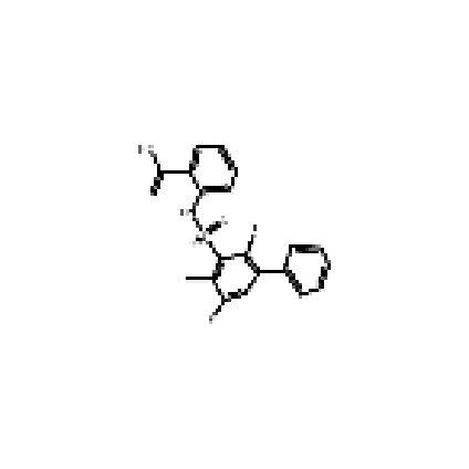 O=C(O)c1ccccc1NS(=O)(=O)c1c(F)c(F)cc(-c2ccccc2)c1F